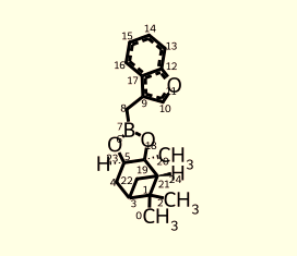 CC1(C)C2C[C@H]3OB(Cc4coc5ccccc45)O[C@@]3(C)[C@H]1C2